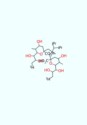 [2H]CC(O)C(O)C1OC(CC(C)(CC2(C(=O)O)CC(O)C(C)C(C(O)C(O)C[2H])O2)C(C(C)C)C(C)C)(C(=O)O)CC(O)C1C